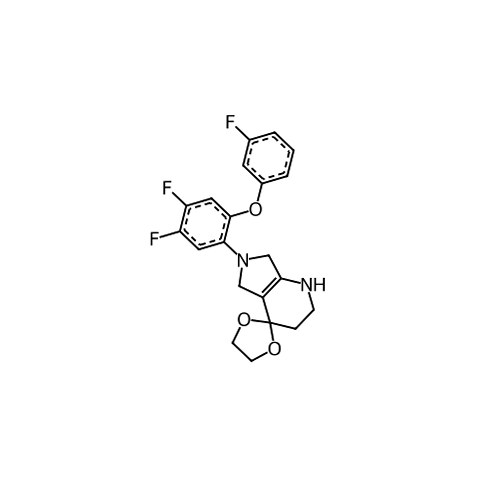 Fc1cccc(Oc2cc(F)c(F)cc2N2CC3=C(C2)C2(CCN3)OCCO2)c1